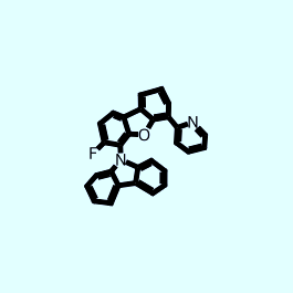 Fc1ccc2c(oc3c(-c4ccccn4)cccc32)c1-n1c2ccccc2c2ccccc21